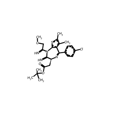 COCC(=N)N1C(=N)[C@H](CC(=O)OC(C)(C)C)N=C(c2ccc(Cl)cc2)c2c1sc(C)c2C